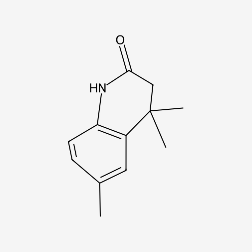 Cc1ccc2c(c1)C(C)(C)CC(=O)N2